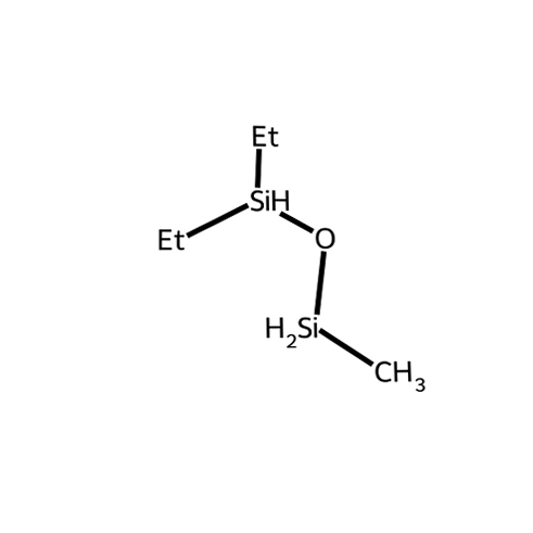 CC[SiH](CC)O[SiH2]C